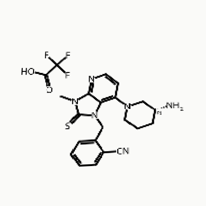 Cn1c(=S)n(Cc2ccccc2C#N)c2c(N3CCC[C@@H](N)C3)ccnc21.O=C(O)C(F)(F)F